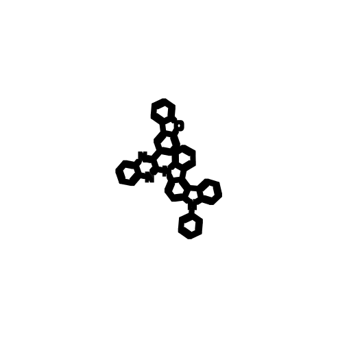 c1ccc(-n2c3ccccc3c3c4c5ccccc5n(-c5nc6ccccc6nc5-c5ccc6oc7ccccc7c6c5)c4ccc32)cc1